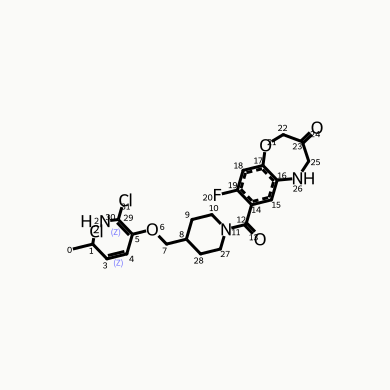 CC(Cl)/C=C\C(OCC1CCN(C(=O)c2cc3c(cc2F)OCC(=O)CN3)CC1)=C(/N)Cl